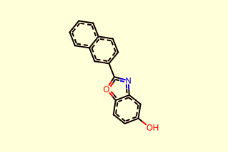 Oc1ccc2oc(-c3ccc4ccccc4c3)nc2c1